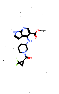 CCCOC(=O)c1cnc2[nH]ccc2c1N[C@@H]1CCCN(C(=O)[C@H]2CC2(F)F)C1